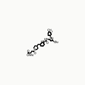 COC(=O)CCC(=O)N1CCC(Cc2cccc(NC(=O)Nc3cc(C(C)(C)C)nn3-c3ccc(C)cc3)c2)CC1